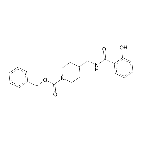 O=C(NCC1CCN(C(=O)OCc2ccccc2)CC1)c1ccccc1O